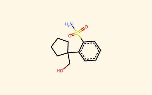 NS(=O)(=O)c1ccccc1C1(CO)CCCC1